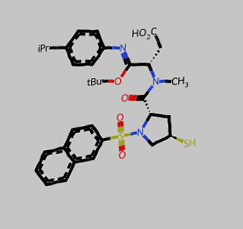 CC(C)c1ccc(N=C(OC(C)(C)C)[C@H](CC(=O)O)N(C)C(=O)[C@@H]2C[C@@H](S)CN2S(=O)(=O)c2ccc3ccccc3c2)cc1